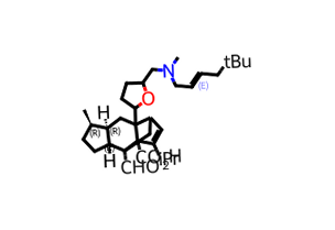 CC(C)C1=CC2CC3(C=O)[C@@H]4CC[C@@H](C)[C@H]4CC2(C2CCC(CN(C)C/C=C/CC(C)(C)C)O2)C13C(=O)O